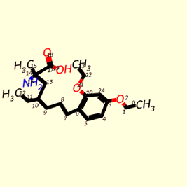 CCOc1ccc(CCCC(CC)CC(C)(N)C(=O)O)c(OCC)c1